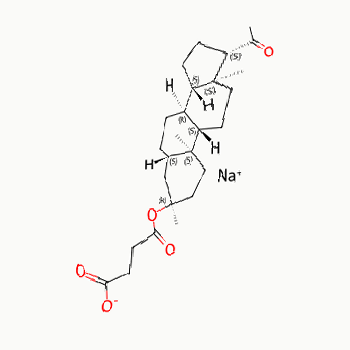 CC(=O)[C@H]1CC[C@H]2[C@@H]3CC[C@H]4C[C@](C)(OC(=O)CCC(=O)[O-])CC[C@]4(C)[C@H]3CC[C@]12C.[Na+]